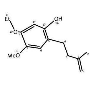 C=C(C)CCc1cc(OC)c(OCC)cc1O